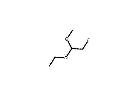 CCOC(CF)OC